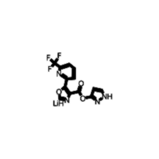 O=C(Oc1cc[nH]n1)c1ncoc1-c1cccc(C(F)(F)F)n1.[LiH]